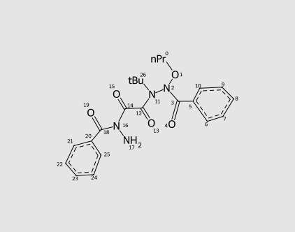 CCCON(C(=O)c1ccccc1)N(C(=O)C(=O)N(N)C(=O)c1ccccc1)C(C)(C)C